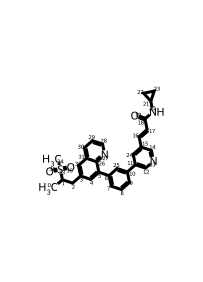 CC(Cc1cc(-c2cccc(-c3cncc(C=CC(=O)NC4CC4)c3)c2)c2ncccc2c1)S(C)(=O)=O